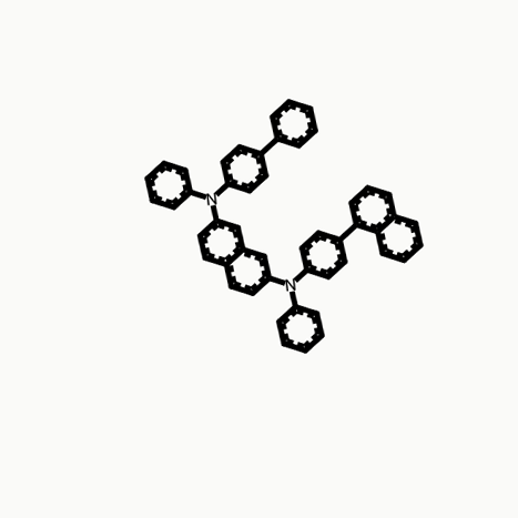 c1ccc(-c2ccc(N(c3ccccc3)c3ccc4ccc(N(c5ccccc5)c5ccc(-c6cccc7ccccc67)cc5)cc4c3)cc2)cc1